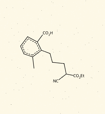 CCOC(=O)C(C#N)CCCc1c(C)cccc1C(=O)O